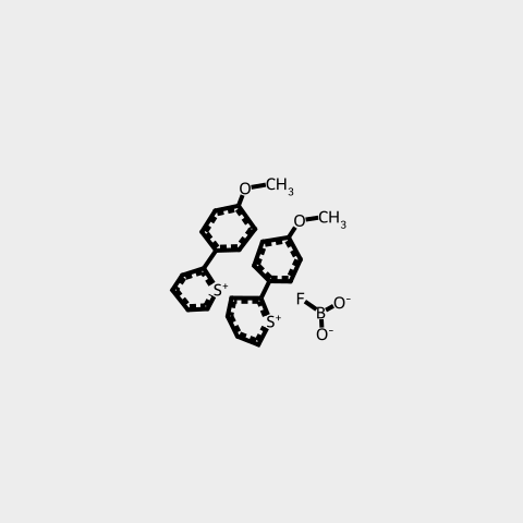 COc1ccc(-c2cccc[s+]2)cc1.COc1ccc(-c2cccc[s+]2)cc1.[O-]B([O-])F